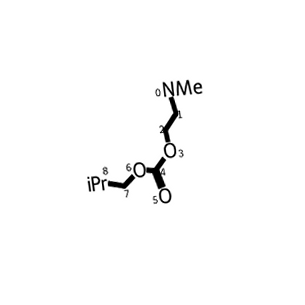 CNCCOC(=O)OCC(C)C